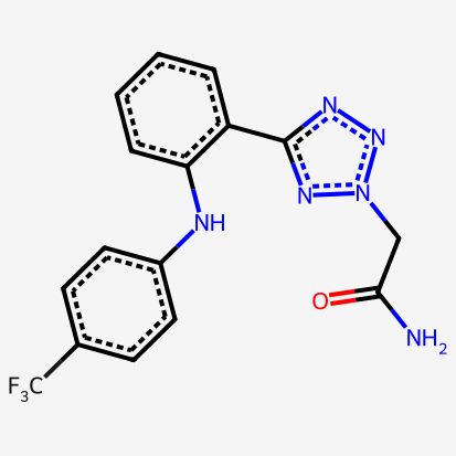 NC(=O)Cn1nnc(-c2ccccc2Nc2ccc(C(F)(F)F)cc2)n1